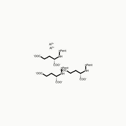 CCCCCN[C@@H](CCC(=O)[O-])C(=O)[O-].CCCCCN[C@@H](CCC(=O)[O-])C(=O)[O-].CCCCCN[C@@H](CCC(=O)[O-])C(=O)[O-].[Al+3].[Al+3]